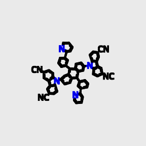 [C-]#[N+]c1ccc2c(c1)c1cc(C#N)ccc1n2-c1ccc2c(-c3cccc(-c4ccccn4)c3)c3cc(-n4c5ccc(C#N)cc5c5cc([N+]#[C-])ccc54)ccc3c(-c3cccc(-c4ccccn4)c3)c2c1